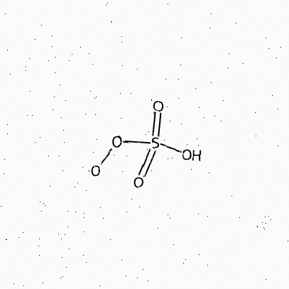 [O]OS(=O)(=O)O